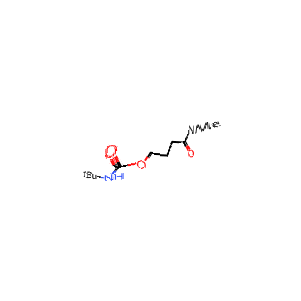 CNC(=O)CCCOC(=O)NC(C)(C)C